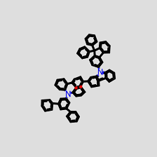 c1ccc(-c2cc(-c3ccccc3)cc(N(c3ccccc3)c3ccccc3-c3ccc(-c4ccc5c6ccccc6n(-c6ccc7c(c6)-c6ccccc6C7(c6ccccc6)c6ccccc6)c5c4)cc3)c2)cc1